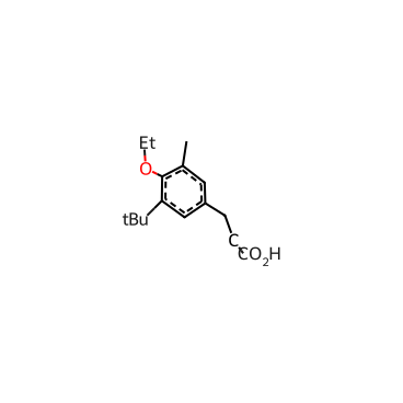 CCOc1c(C)cc(CCC(=O)O)cc1C(C)(C)C